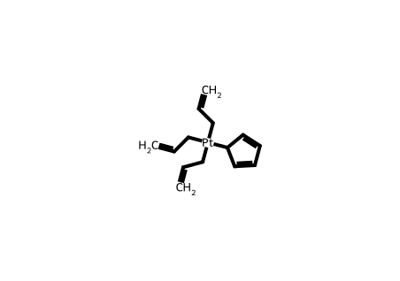 C=C[CH2][Pt]([CH2]C=C)([CH2]C=C)[CH]1C=CC=C1